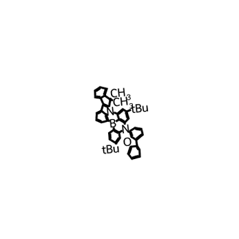 CC(C)(C)c1ccc2c(c1)N(c1cccc3c1oc1ccccc13)c1cc(C(C)(C)C)cc3c1B2c1cccc2c4c(n-3c12)C(C)(C)c1ccccc1-4